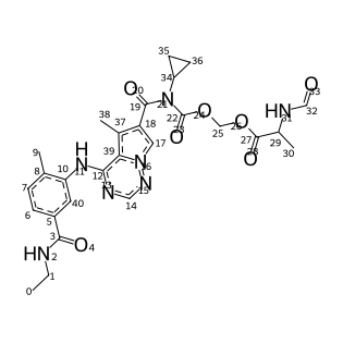 CCNC(=O)c1ccc(C)c(Nc2ncnn3cc(C(=O)N(C(=O)OCOC(=O)C(C)NC=O)C4CC4)c(C)c23)c1